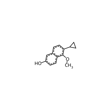 COc1c(C2CC2)ccc2cc(O)ccc12